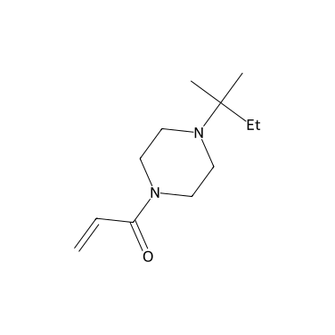 C=CC(=O)N1CCN(C(C)(C)CC)CC1